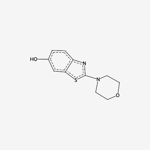 Oc1ccc2nc(N3CCOCC3)sc2c1